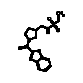 C=CS(=O)(=O)NCC1CCN(C(=O)c2nc3ccccc3s2)C1